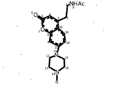 CC(=O)NCCc1cc(=O)oc2cc(N3CCN(C)CC3)ccc12